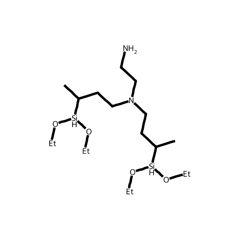 CCO[SiH](OCC)C(C)CCN(CCN)CCC(C)[SiH](OCC)OCC